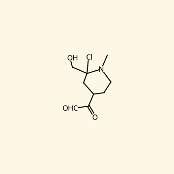 CN1CCC(C(=O)C=O)CC1(Cl)CO